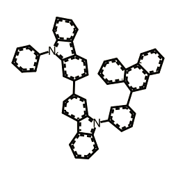 c1ccc(-n2c3ccccc3c3ccc(-c4ccc5c6ccccc6n(-c6cccc(-c7cc8ccccc8c8ccccc78)c6)c5c4)cc32)cc1